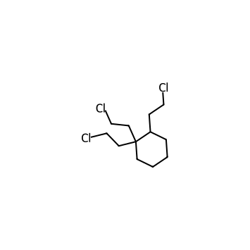 ClCCC1CCCCC1(CCCl)CCCl